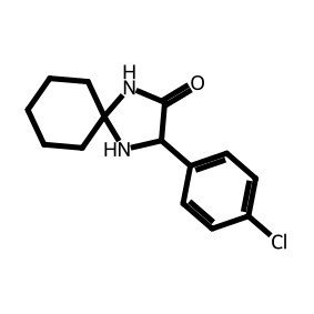 O=C1NC2(CCCCC2)NC1c1ccc(Cl)cc1